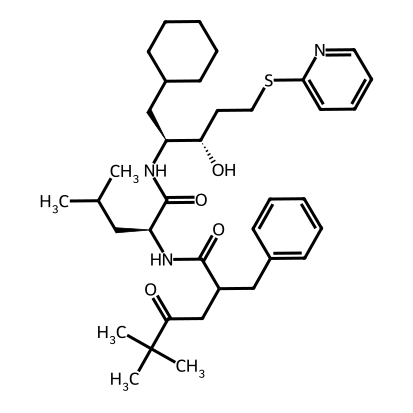 CC(C)C[C@H](NC(=O)C(CC(=O)C(C)(C)C)Cc1ccccc1)C(=O)N[C@@H](CC1CCCCC1)[C@@H](O)CCSc1ccccn1